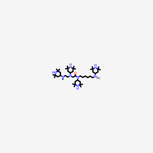 CC(=O)N(CCCCCCN(C(=O)CN(CCN(C)C1CC(C)(C)NC(C)(C)C1)C1CC(C)(C)NC(C)(C)C1)C1CC(C)(C)NC(C)(C)C1)C1CC(C)(C)NC(C)(C)C1